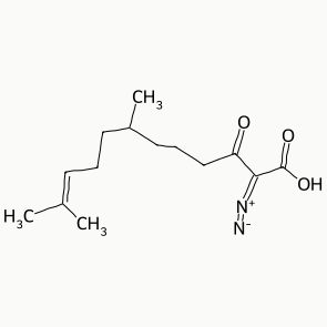 CC(C)=CCCC(C)CCCC(=O)C(=[N+]=[N-])C(=O)O